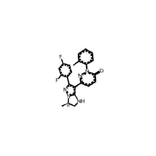 Cc1ccccc1-n1nc(-c2c(-c3ccc(F)cc3F)nn3c2NC[C@H]3C)ccc1=O